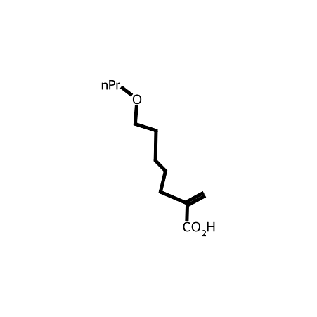 C=C(CCCCCOCCC)C(=O)O